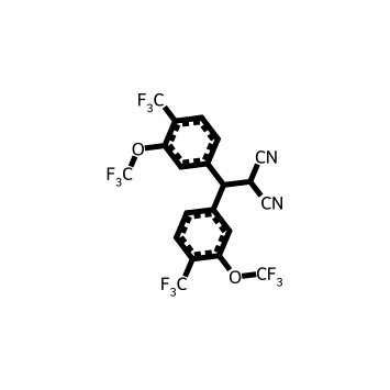 N#CC(C#N)C(c1ccc(C(F)(F)F)c(OC(F)(F)F)c1)c1ccc(C(F)(F)F)c(OC(F)(F)F)c1